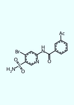 CC(=O)c1cccc(C(=O)Nc2cc(Br)c(S(N)(=O)=O)cn2)c1